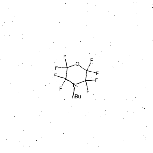 CCCCN1C(F)(F)C(F)(F)OC(F)(F)C1(F)F